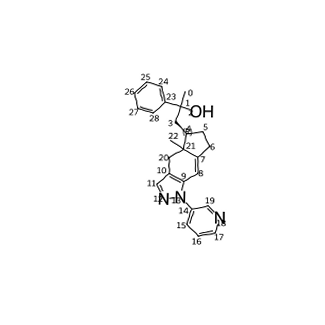 CC(O)(C[C@H]1CCC2=Cc3c(cnn3-c3cccnc3)CC21C)c1ccccc1